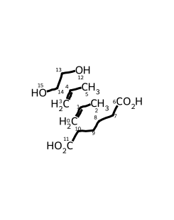 C=CC.C=CC.O=C(O)CCCCC(=O)O.OCCO